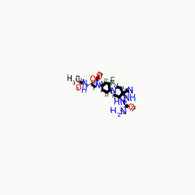 CC(=O)NC[C@H]1CN(c2ccc(N3CCC(C#N)(NNC(N)=O)CC3)c(F)c2)C(=O)O1